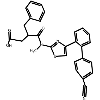 CN(C(=O)C(CC(=O)O)Cc1ccccc1)c1nc(-c2ccccc2-c2ccc(C#N)cc2)cs1